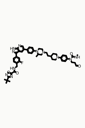 CNC(=O)N(CCC=O)c1ccc(N2CCC(CCN3CCN(c4ccc(-c5cnc6[nH]nc(-c7ccc(CNC(=O)c8nc(C(C)(C)C)no8)c(F)c7)c6c5)cc4)C(C)C3)CC2)cc1